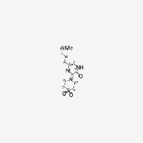 CNCCCc1c[nH]c(=O)c(N2CCS(=O)(=O)CC2)n1